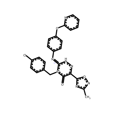 Cc1noc(-c2n[nH]/c(=N\c3ccc(Oc4ccccn4)cc3)n(Cc3ccc(Cl)cc3)c2=O)n1